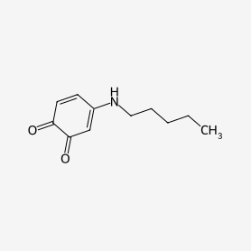 CCCCCNC1=CC(=O)C(=O)C=C1